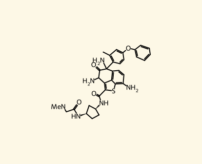 CNCC(=O)N[C@@H]1CC[C@H](NC(=O)c2sc3c(N)ccc4c3c2C(N)C(=O)C4(N)c2ccc(Oc3ccccc3)cc2C)C1